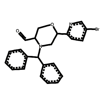 O=CC1COC(c2ccc(Br)cn2)CN1C(c1ccccc1)c1ccccc1